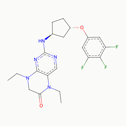 CCN1CC(=O)N(CC)c2cnc(N[C@H]3CC[C@H](Oc4cc(F)c(F)c(F)c4)C3)nc21